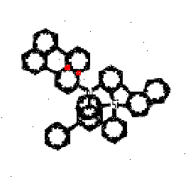 c1ccc(-c2cccc(N(c3ccc(-c4cccc5cccc(-c6ccccc6)c45)cc3)c3cccc4c3[Si](c3ccccc3)(c3ccccc3)c3ccc5ccccc5c3-4)c2)cc1